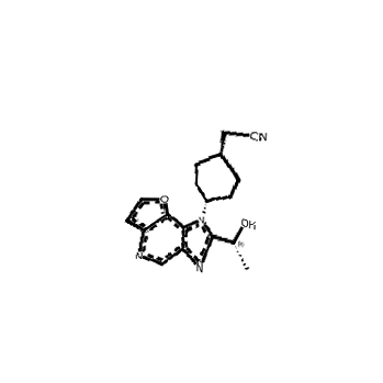 C[C@@H](O)c1nc2cnc3ccoc3c2n1[C@H]1CC[C@H](CC#N)CC1